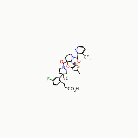 [C-]#[N+]C1(c2cc(F)ccc2CCC(=O)O)CCN(C(=O)[C@]2(Oc3csc(C)c3)CCCN(C(=O)c3ncccc3C(F)(F)F)[C@@H]2CCC)CC1